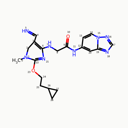 CN1CC(C=N)=C(NCC(=O)Nc2ccn3ncnc3c2)N=C1OCCC1CC1